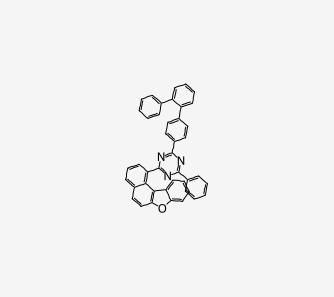 c1ccc(-c2nc(-c3ccc(-c4ccccc4-c4ccccc4)cc3)nc(-c3cccc4ccc5oc6ccccc6c5c34)n2)cc1